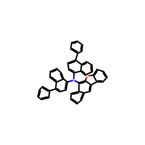 c1ccc(-c2ccc(N(c3ccc(-c4ccccc4)c4ccccc34)c3c4ccccc4cc4c3oc3ccccc34)c3ccccc23)cc1